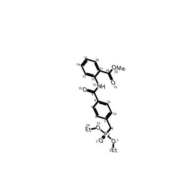 CCOP(=O)(Cc1ccc(C(=O)Nc2ccccc2C(=O)OC)cc1)OCC